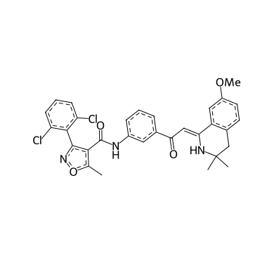 COc1ccc2c(c1)C(=CC(=O)c1cccc(NC(=O)c3c(-c4c(Cl)cccc4Cl)noc3C)c1)NC(C)(C)C2